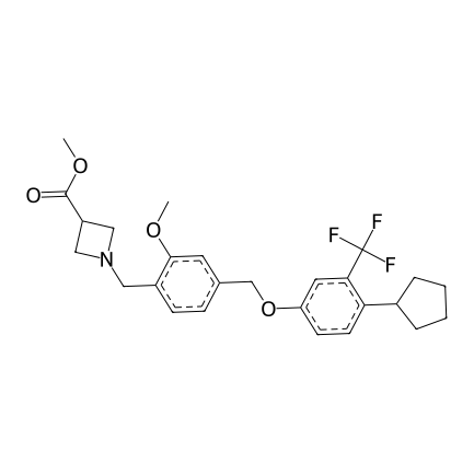 COC(=O)C1CN(Cc2ccc(COc3ccc(C4CCCC4)c(C(F)(F)F)c3)cc2OC)C1